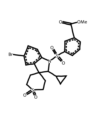 COC(=O)c1cccc(S(=O)(=O)N2c3ccc(Br)cc3C3(CCS(=O)(=O)CC3)C2C2CC2)c1